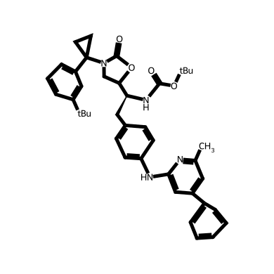 Cc1cc(-c2ccccc2)cc(Nc2ccc(C[C@H](NC(=O)OC(C)(C)C)C3CN(C4(c5cccc(C(C)(C)C)c5)CC4)C(=O)O3)cc2)n1